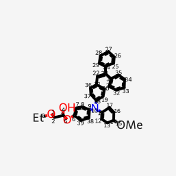 CCOCC(O)Oc1ccc(N(C2=CCC(OC)C=C2)c2ccc(C=C(c3ccccc3)c3ccccc3)cc2)cc1